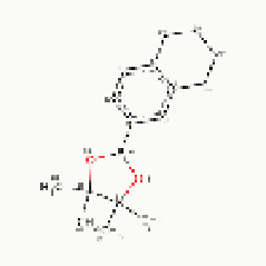 CC1(C)OB(c2ccc3c(c2)CCCC3)OC1(C)C